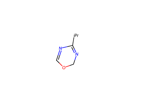 CC(C)C1=NCOC=N1